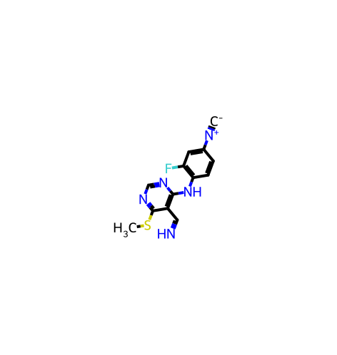 [C-]#[N+]c1ccc(Nc2ncnc(SC)c2C=N)c(F)c1